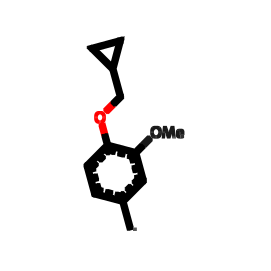 [CH2]c1ccc(OCC2CC2)c(OC)c1